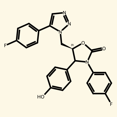 O=C1O[C@H](Cn2nncc2-c2ccc(F)cc2)C(c2ccc(O)cc2)N1c1ccc(F)cc1